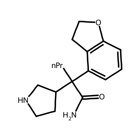 CCCC(C(N)=O)(c1cccc2c1CCO2)C1CCNC1